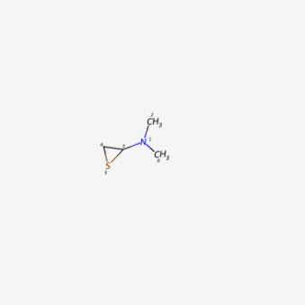 CN(C)C1CS1